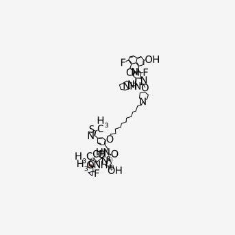 C#Cc1c(F)ccc2cc(O)cc(-c3ncc4c(N5CC6CCC(C5)N6)nc(OC5CCN(CCCCCCCCCCCCOc6cc(-c7ncsc7C)ccc6CNC(=O)[C@@H]6C[C@@H](O)CN6C(=O)C(NC(=O)C6(F)CC6)C(C)(C)C)CC5)nc4c3F)c12